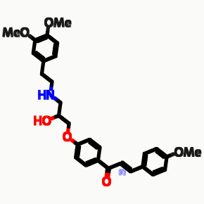 COc1ccc(/C=C/C(=O)c2ccc(OCC(O)CNCCc3ccc(OC)c(OC)c3)cc2)cc1